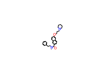 CN(CCc1ccccc1)C(=O)c1ccc2cc(OCCCN3CCCCC3)ccc2c1